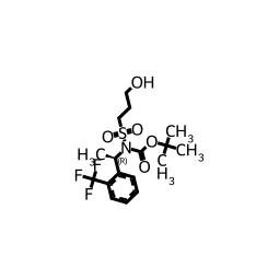 C[C@H](c1ccccc1C(F)(F)F)N(C(=O)OC(C)(C)C)S(=O)(=O)CCCO